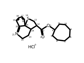 Cl.O=C(OC1CCCCCCC1)C1CSC23C=CC=CC2=NCCC13